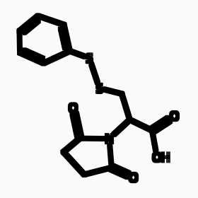 O=C(O)C(CSSc1ccccc1)N1C(=O)CCC1=O